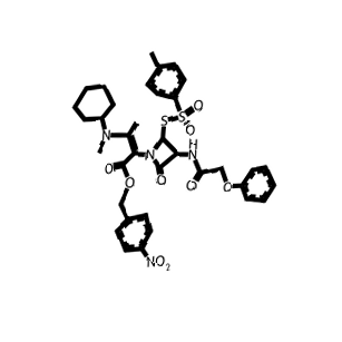 CC(=C(C(=O)OCc1ccc([N+](=O)[O-])cc1)N1C(=O)C(NC(=O)COc2ccccc2)C1SS(=O)(=O)c1ccc(C)cc1)N(C)C1CCCCC1